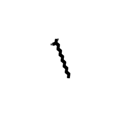 [CH2]C([CH2])CCCCCCCCCCCC